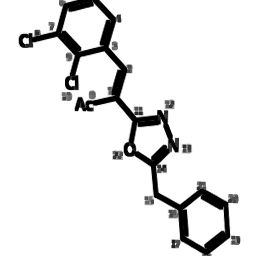 CC(=O)C(=Cc1cccc(Cl)c1Cl)c1nnc(Cc2ccccc2)o1